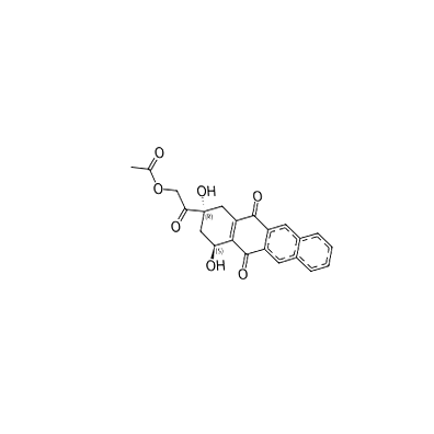 CC(=O)OCC(=O)[C@@]1(O)CC2=C(C(=O)c3cc4ccccc4cc3C2=O)[C@@H](O)C1